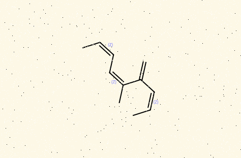 C=C(/C=C\C)/C(C)=C\C=C/C